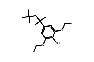 CCSc1cc(C(C)(C)CC(C)(C)C)cc(SCC)c1O